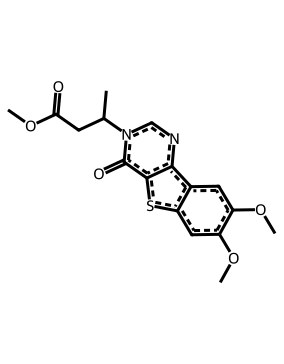 COC(=O)CC(C)n1cnc2c(sc3cc(OC)c(OC)cc32)c1=O